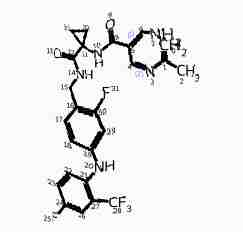 C=C(C)/N=C\C(=C/N)C(=O)NC1(C(=O)NCc2ccc(Nc3ccc(F)cc3C(F)(F)F)cc2F)CC1